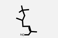 CC(=CCC(C)CC(C)(C)C)CO